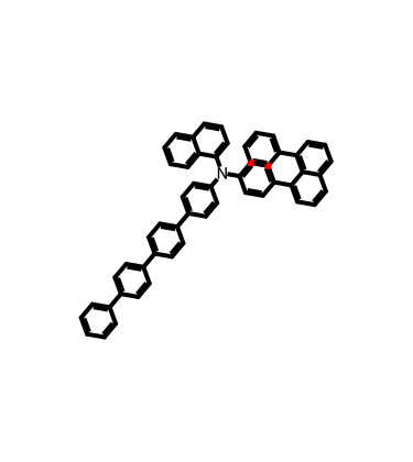 c1ccc(-c2ccc(-c3ccc(-c4ccc(N(c5ccc(-c6cccc7cccc(-c8ccccc8)c67)cc5)c5cccc6ccccc56)cc4)cc3)cc2)cc1